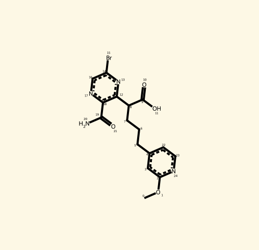 COc1cc(CCCC(C(=O)O)c2nc(Br)cnc2C(N)=O)ccn1